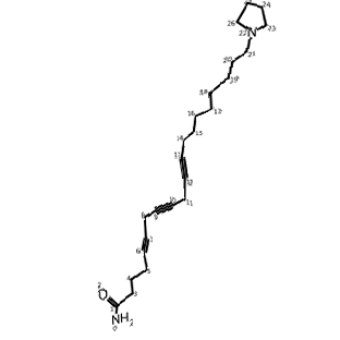 NC(=O)CCCC#CCC#CCC#CCCCCCCCCN1CCCC1